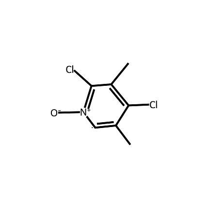 Cc1[c][n+]([O-])c(Cl)c(C)c1Cl